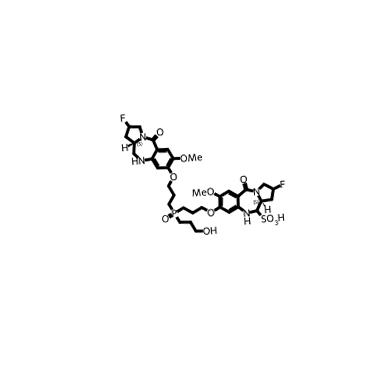 COc1cc2c(cc1OCCCP(=O)(CCCO)CCCOc1cc3c(cc1OC)C(=O)N1CC(F)C[C@H]1C(S(=O)(=O)O)N3)NC[C@@H]1CC(F)CN1C2=O